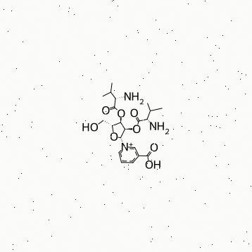 CC(C)[C@H](N)C(=O)O[C@@H]1[C@H](OC(=O)[C@@H](N)C(C)C)[C@@H](CO)O[C@H]1[n+]1cccc(C(=O)O)c1